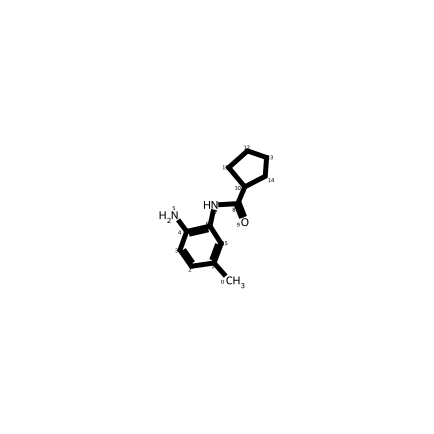 Cc1ccc(N)c(NC(=O)C2CCCC2)c1